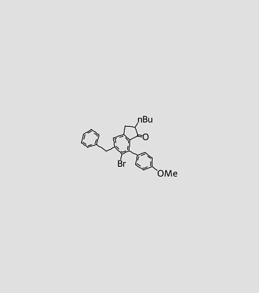 CCCCC1Cc2cc(Cc3ccccc3)c(Br)c(-c3ccc(OC)cc3)c2C1=O